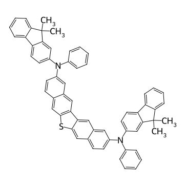 CC1(C)c2ccccc2-c2ccc(N(c3ccccc3)c3ccc4cc5sc6cc7ccc(N(c8ccccc8)c8ccc9c(c8)C(C)(C)c8ccccc8-9)cc7cc6c5cc4c3)cc21